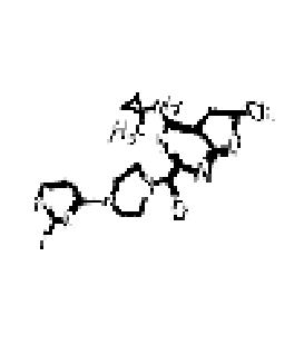 Cc1cc2c(NC3(C)CC3)nc(C(=O)N3CCN(c4ccnc(F)n4)CC3)nc2o1